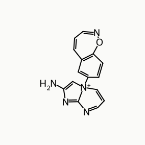 NC1=C[N+]2(c3ccc4c(c3)C=CC=NO4)C=CC=NC2=N1